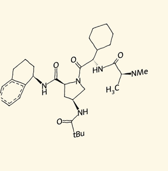 CN[C@@H](C)C(=O)N[C@H](C(=O)N1C[C@@H](NC(=O)C(C)(C)C)C[C@H]1C(=O)N[C@@H]1CCCc2ccccc21)C1CCCCC1